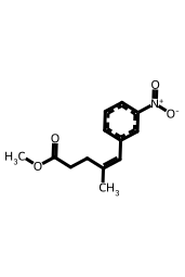 COC(=O)CCC(C)=Cc1cccc([N+](=O)[O-])c1